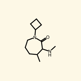 CNC1C(=O)N(C2CCC2)CCCC1C